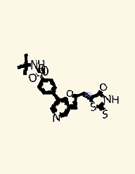 CC(C)(C)NS(=O)(=O)c1ccc(-c2cncc3cc(/C=C4\SC(=S)NC4=O)oc23)cc1